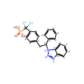 O=P(O)(O)C(F)(F)c1ccc(CC(c2ccccc2)n2nnc3ccccc32)cc1